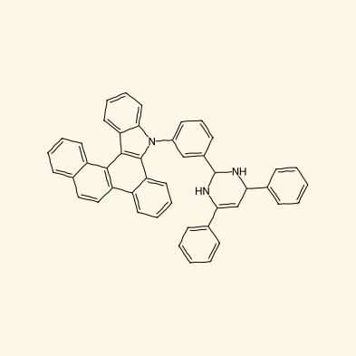 C1=C(c2ccccc2)NC(c2cccc(-n3c4ccccc4c4c5c6ccccc6ccc5c5ccccc5c43)c2)NC1c1ccccc1